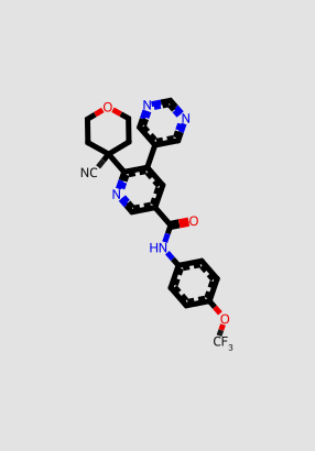 N#CC1(c2ncc(C(=O)Nc3ccc(OC(F)(F)F)cc3)cc2-c2cncnc2)CCOCC1